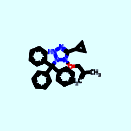 C=C(C)CON1C(C2CC2)=NNN1C(c1ccccc1)(c1ccccc1)c1ccccc1